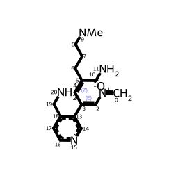 C=N/C=C(\C=C(\CCCNC)C(N)=O)c1cnccc1CN